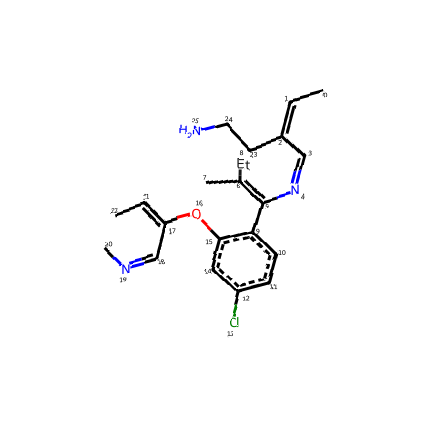 C\C=C(/C=N\C(=C(\C)CC)c1ccc(Cl)cc1OC(/C=N\C)=C/C)CCN